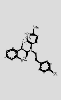 C=C(/C=C\C(=C/N)N(CCc1ccc(C(F)(F)F)cc1)C(=O)C(N)c1ccccc1OC)OC